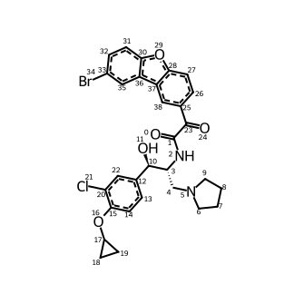 O=C(N[C@H](CN1CCCC1)[C@H](O)c1ccc(OC2CC2)c(Cl)c1)C(=O)c1ccc2oc3ccc(Br)cc3c2c1